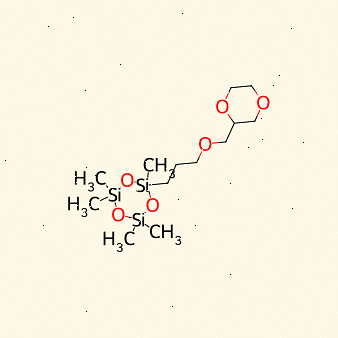 C[Si]1(C)O[Si](C)(C)O[Si](C)(CCCOCC2COCCO2)O1